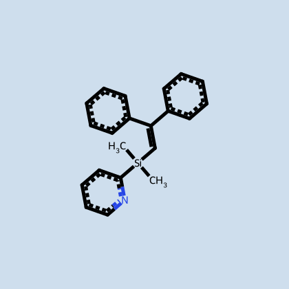 C[Si](C)(C=C(c1ccccc1)c1ccccc1)c1ccccn1